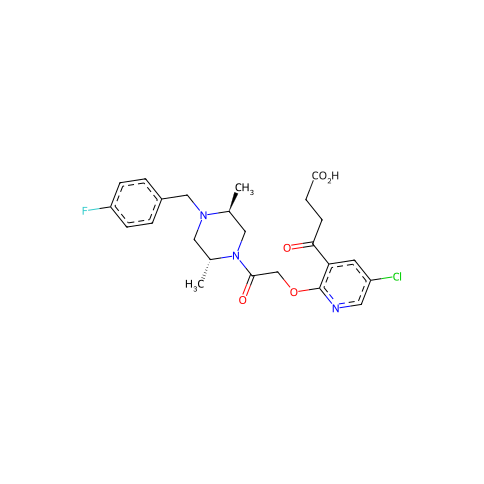 C[C@@H]1CN(Cc2ccc(F)cc2)[C@@H](C)CN1C(=O)COc1ncc(Cl)cc1C(=O)CCC(=O)O